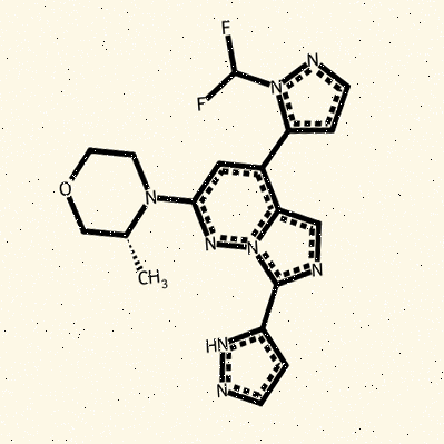 C[C@@H]1COCCN1c1cc(-c2ccnn2C(F)F)c2cnc(-c3ccn[nH]3)n2n1